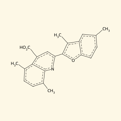 Cc1ccc2oc(-c3cc(C(=O)O)c4c(C)ccc(C)c4n3)c(C)c2c1